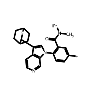 CC(C)N(C)C(=O)c1cc(F)ccc1-n1cc(C2CC3CCC2CC3)c2ccncc21